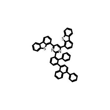 c1ccc(-c2c(-c3nc(-c4cccc5c4sc4ccccc45)cc(-c4cccc5c4sc4ccccc45)n3)cccc2-c2ccc(-c3ccccc3)c3ccccc23)cc1